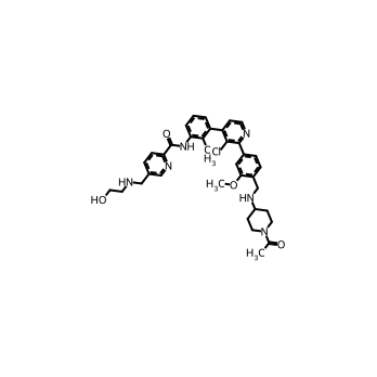 COc1cc(-c2nccc(-c3cccc(NC(=O)c4ccc(CNCCO)cn4)c3C)c2Cl)ccc1CNC1CCN(C(C)=O)CC1